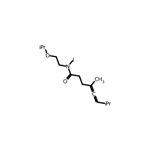 CC(=C=CC(C)C)CCC(=O)N(I)CCOC(C)C